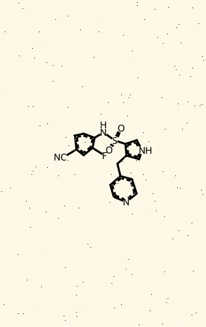 N#Cc1ccc(NS(=O)(=O)c2c[nH]cc2Cc2ccncc2)c(F)c1